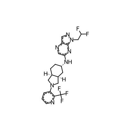 FC(F)Cn1ncc2ncc(N[C@H]3CC[C@@H]4CN(c5cccnc5C(F)(F)F)C[C@@H]4C3)nc21